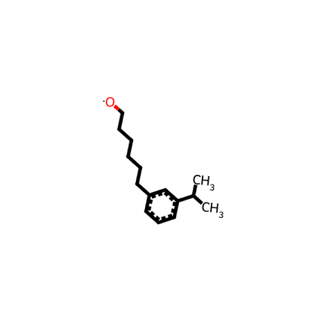 CC(C)c1cccc(CCCCCC[O])c1